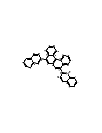 c1ccc2cc(-c3cc4cc(-c5ccc6ccccc6n5)c5ccccc5c4c4ccccc34)ccc2c1